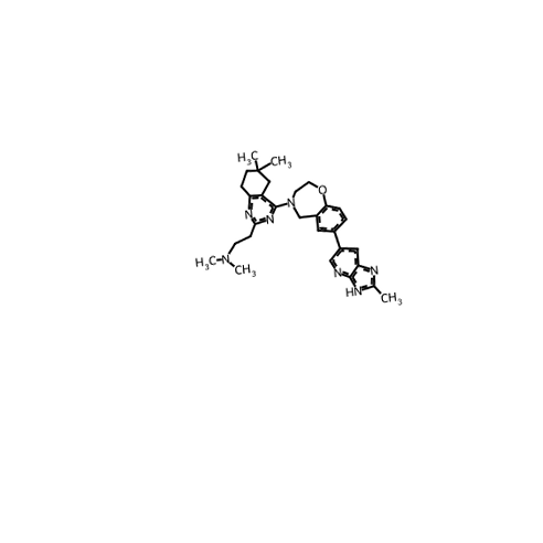 Cc1nc2cc(-c3ccc4c(c3)CN(c3nc(CCN(C)C)nc5c3CC(C)(C)CC5)CCO4)cnc2[nH]1